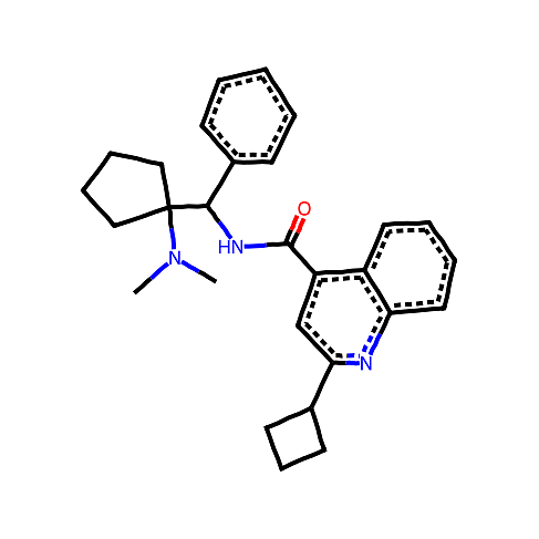 CN(C)C1(C(NC(=O)c2cc(C3CCC3)nc3ccccc23)c2ccccc2)CCCC1